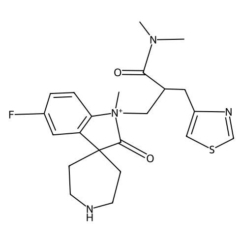 CN(C)C(=O)C(Cc1cscn1)C[N+]1(C)C(=O)C2(CCNCC2)c2cc(F)ccc21